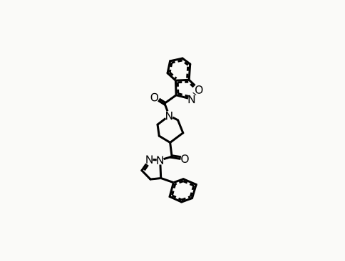 O=C(c1noc2ccccc12)N1CCC(C(=O)N2N=CCC2c2ccccc2)CC1